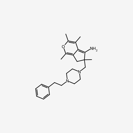 CC1=C(C)C2=C(N)C(C)(CN3CCN(CCc4ccccc4)CC3)CC2=C(C)O1